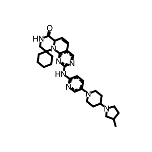 CC1CCN(C2CCN(c3ccc(Nc4ncc5c(n4)N4C(C=C5)C(=O)NCC45CCCCC5)nc3)CC2)C1